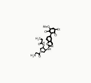 C=CC(=O)NC1CN(C(=O)CN)CC1Nc1ncc2cc(-c3c(Cl)c(CC)cc(OC)c3Cl)ccc2n1